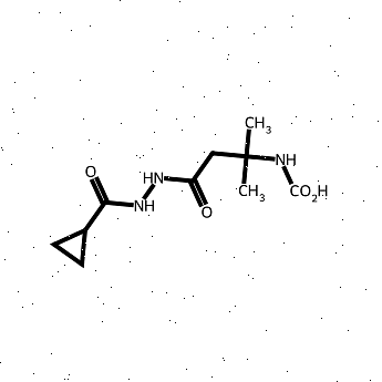 CC(C)(CC(=O)NNC(=O)C1CC1)NC(=O)O